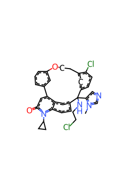 Cn1cncc1C1(NCCCl)c2ccc(Cl)c(c2)CCOc2cccc(c2)-c2cc(=O)n(C3CC3)c3ccc1cc23